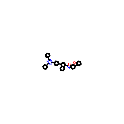 c1ccc(-c2nc(-c3ccccc3)nc(-c3ccc(-c4ccc(-c5nc6ccc7c8ccccc8oc7c6o5)c5ccccc45)cc3)n2)cc1